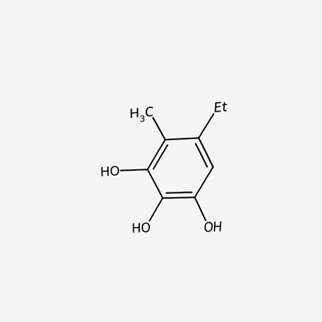 CCc1cc(O)c(O)c(O)c1C